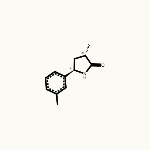 Cc1cccc([C@H]2[CH][C@H](C)C(=O)N2)c1